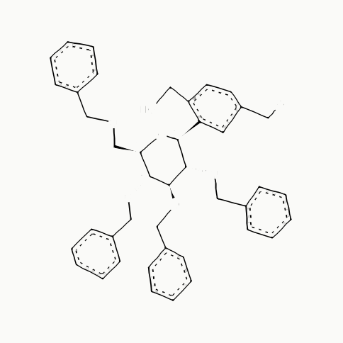 OCc1ccc(CO)c([C@@H]2O[C@H](COCc3ccccc3)[C@@H](OCc3ccccc3)[C@H](OCc3ccccc3)[C@H]2OCc2ccccc2)c1